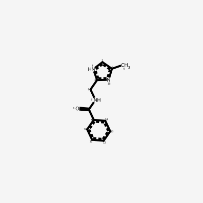 Cc1c[nH]c(CNC(=O)c2ccccc2)n1